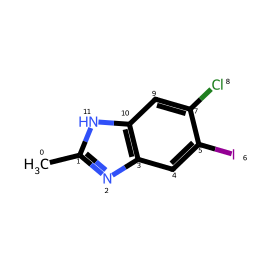 Cc1nc2cc(I)c(Cl)cc2[nH]1